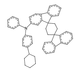 c1ccc(N(c2ccc(C3CCCCC3)cc2)c2ccc3c(c2)C2(CCC4(CC2)c2ccccc2-c2ccccc24)c2ccccc2-3)cc1